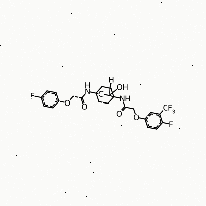 O=C(COc1ccc(F)cc1)NC12CCC(NC(=O)COc3ccc(F)c(C(F)(F)F)c3)(CC1)[C@@H](O)C2